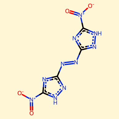 O=[N+]([O-])c1nc(N=Nc2n[nH]c([N+](=O)[O-])n2)n[nH]1